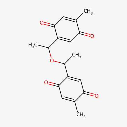 CC1=CC(=O)C(C(C)OC(C)C2=CC(=O)C(C)=CC2=O)=CC1=O